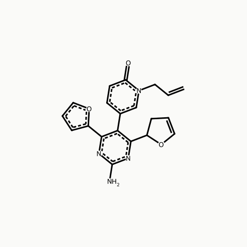 C=CCn1cc(-c2c(-c3ccco3)nc(N)nc2C2CC=CO2)ccc1=O